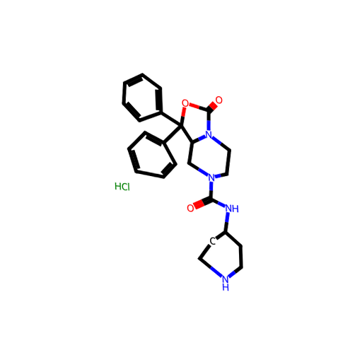 Cl.O=C(NC1CCNCC1)N1CCN2C(=O)OC(c3ccccc3)(c3ccccc3)C2C1